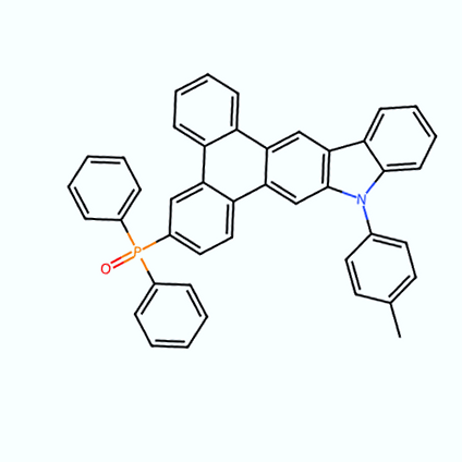 Cc1ccc(-n2c3ccccc3c3cc4c5ccccc5c5cc(P(=O)(c6ccccc6)c6ccccc6)ccc5c4cc32)cc1